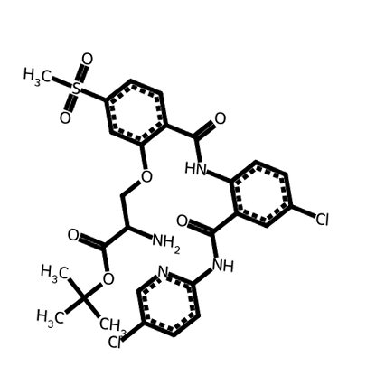 CC(C)(C)OC(=O)C(N)COc1cc(S(C)(=O)=O)ccc1C(=O)Nc1ccc(Cl)cc1C(=O)Nc1ccc(Cl)cn1